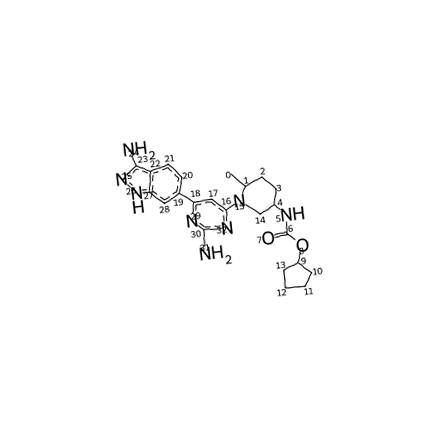 CC1CCC(NC(=O)OC2CCCC2)CN1c1cc(-c2ccc3c(N)n[nH]c3c2)nc(N)n1